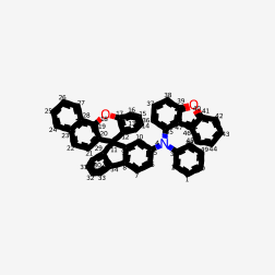 c1ccc(N(c2ccc3c(c2)C2(c4ccccc4Oc4c2ccc2ccccc42)c2ccccc2-3)c2cccc3oc4ccccc4c23)cc1